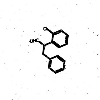 O=[C]N(Cc1ccccc1)c1ccccc1Cl